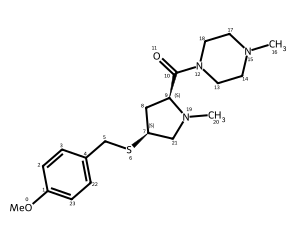 COc1ccc(CS[C@H]2C[C@@H](C(=O)N3CCN(C)CC3)N(C)C2)cc1